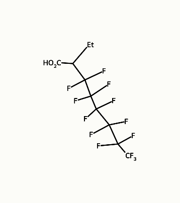 CCC(C(=O)O)C(F)(F)C(F)(F)C(F)(F)C(F)(F)C(F)(F)C(F)(F)F